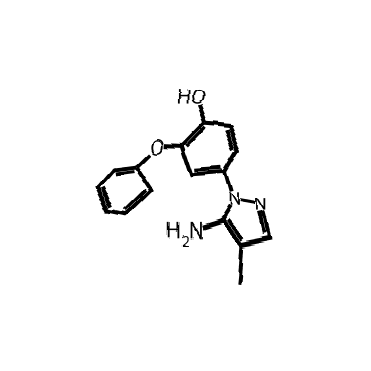 Cc1cnn(-c2ccc(O)c(Oc3ccccc3)c2)c1N